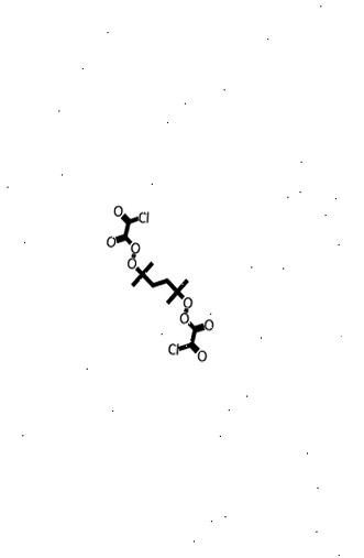 CC(C)(CCC(C)(C)OOC(=O)C(=O)Cl)OOC(=O)C(=O)Cl